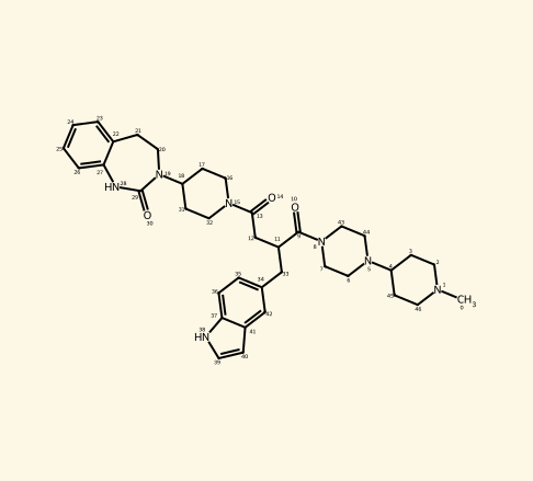 CN1CCC(N2CCN(C(=O)C(CC(=O)N3CCC(N4CCc5ccccc5NC4=O)CC3)Cc3ccc4[nH]ccc4c3)CC2)CC1